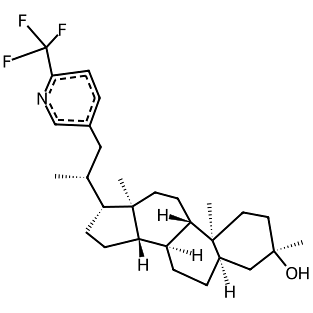 C[C@H](Cc1ccc(C(F)(F)F)nc1)[C@H]1CC[C@H]2[C@@H]3CC[C@@H]4C[C@](C)(O)CC[C@]4(C)[C@H]3CC[C@]12C